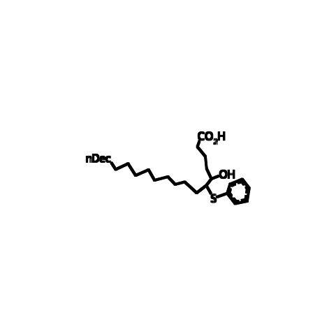 CCCCCCCCCCCCCCCCCCCC(Sc1ccccc1)C(O)CCCC(=O)O